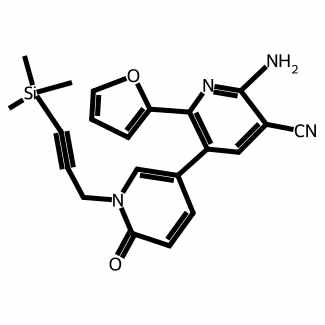 C[Si](C)(C)C#CCn1cc(-c2cc(C#N)c(N)nc2-c2ccco2)ccc1=O